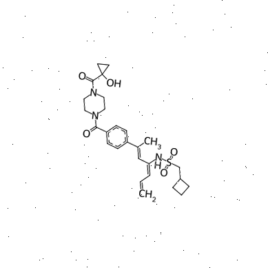 C=C/C=C(\C=C(/C)c1ccc(C(=O)N2CCN(C(=O)C3(O)CC3)CC2)cc1)NS(=O)(=O)CC1CCC1